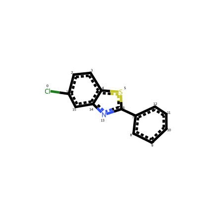 Clc1ccc2sc(-c3c[c]ccc3)nc2c1